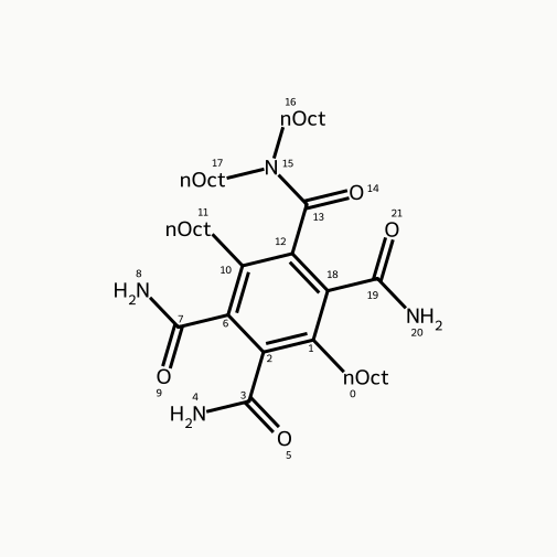 CCCCCCCCc1c(C(N)=O)c(C(N)=O)c(CCCCCCCC)c(C(=O)N(CCCCCCCC)CCCCCCCC)c1C(N)=O